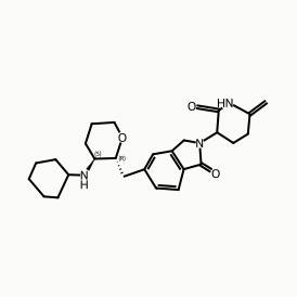 C=C1CCC(N2Cc3cc(C[C@H]4OCCC[C@@H]4NC4CCCCC4)ccc3C2=O)C(=O)N1